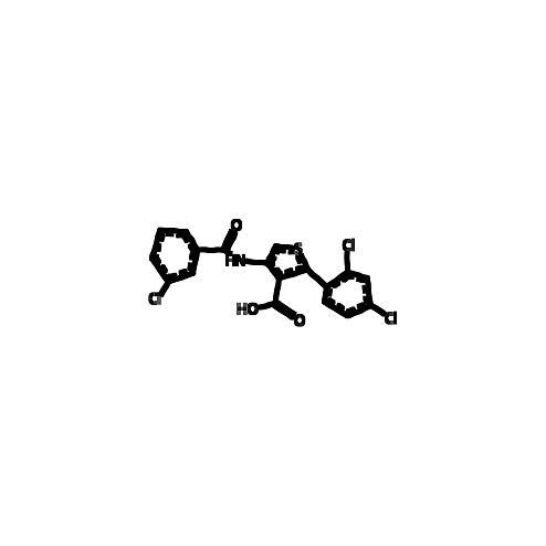 O=C(Nc1csc(-c2ccc(Cl)cc2Cl)c1C(=O)O)c1cccc(Cl)c1